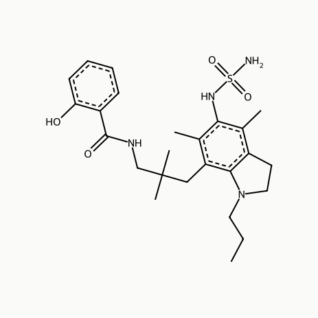 CCCN1CCc2c(C)c(NS(N)(=O)=O)c(C)c(CC(C)(C)CNC(=O)c3ccccc3O)c21